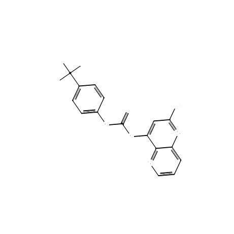 Cc1cc(NC(=O)Nc2ccc(C(C)(C)O)cc2)c2ncccc2n1